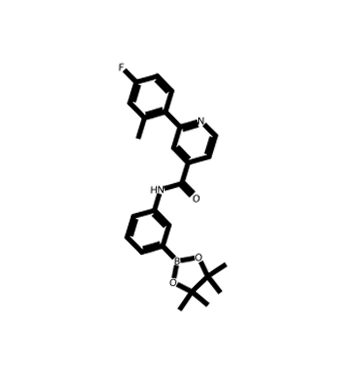 Cc1cc(F)ccc1-c1cc(C(=O)Nc2cccc(B3OC(C)(C)C(C)(C)O3)c2)ccn1